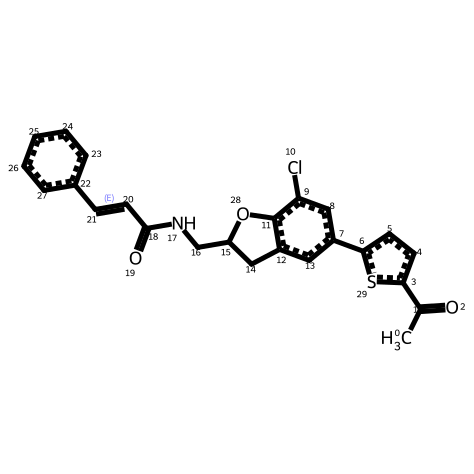 CC(=O)c1ccc(-c2cc(Cl)c3c(c2)CC(CNC(=O)/C=C/c2ccccc2)O3)s1